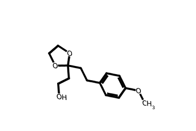 COc1ccc(CCC2(CCO)OCCO2)cc1